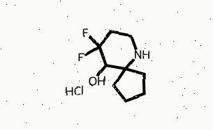 Cl.OC1C(F)(F)CCNC12CCCC2